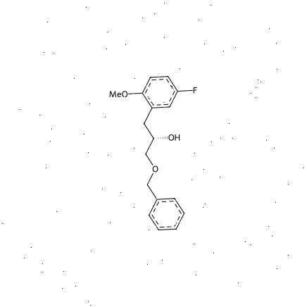 COc1ccc(F)cc1C[C@H](O)COCc1ccccc1